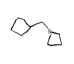 C1CC(CN2CCC2)C1